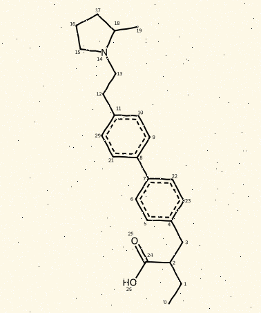 CCC(Cc1ccc(-c2ccc(CCN3CCCC3C)cc2)cc1)C(=O)O